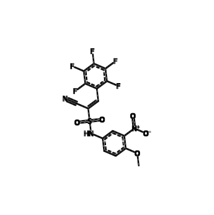 COc1ccc(NS(=O)(=O)C(C#N)=Cc2c(F)c(F)c(F)c(F)c2F)cc1[N+](=O)[O-]